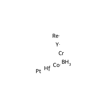 B.[Co].[Cr].[Hf].[Pt].[Re].[Y]